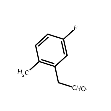 Cc1ccc(F)cc1C[C]=O